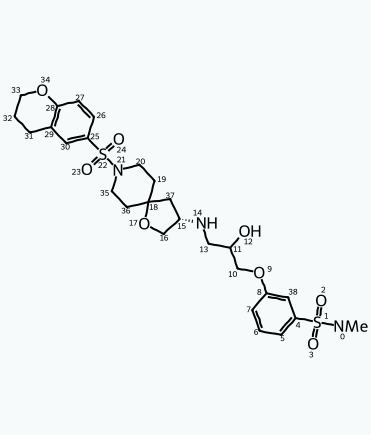 CNS(=O)(=O)c1cccc(OCC(O)CN[C@@H]2COC3(CCN(S(=O)(=O)c4ccc5c(c4)CCCO5)CC3)C2)c1